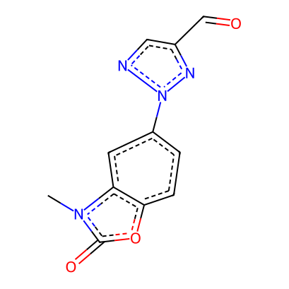 Cn1c(=O)oc2ccc(-n3ncc(C=O)n3)cc21